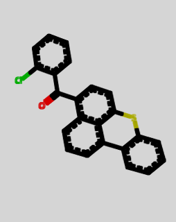 O=C(c1ccccc1Cl)c1ccc2c3c(cccc13)-c1ccccc1S2